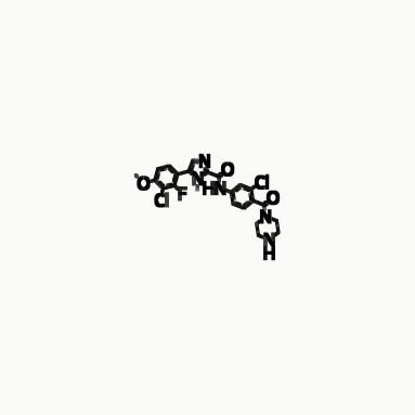 COc1ccc(-c2cnc(C(=O)Nc3ccc(C(=O)N4CCNCC4)c(Cl)c3)n2C)c(F)c1Cl